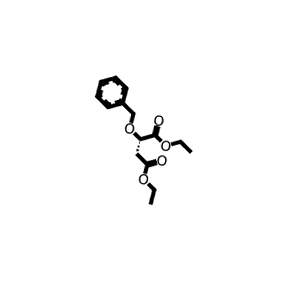 CCOC(=O)C[C@H](OCc1ccccc1)C(=O)OCC